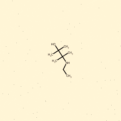 CCNC(C)(C)C(C)(C)O